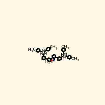 C/C=C\c1c(-c2cccc(-c3cccc(-c4nc(-c5ccc(C)cc5)nc(-c5ccc(C)cc5)n4)c3)c2)cccc1-c1cccc(-c2nc(-c3ccc(C)cc3)nc(-c3ccc(C)cc3)n2)c1